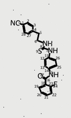 N#Cc1ccc(CCNC(=S)Nc2ccc(NC(=O)c3ccccc3F)cc2)cc1